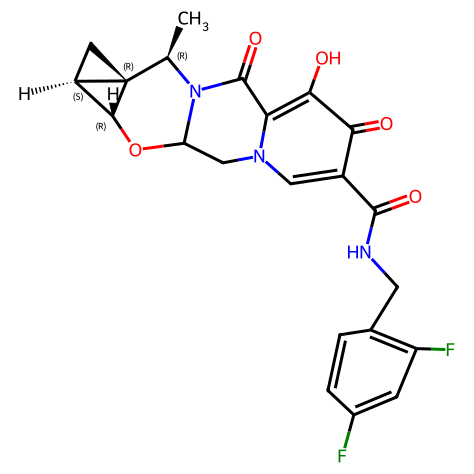 C[C@H]1N2C(=O)c3c(O)c(=O)c(C(=O)NCc4ccc(F)cc4F)cn3CC2O[C@@H]2[C@H]3C[C@]321